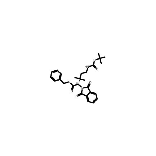 CC(C)(C)OC(=O)NCCC(C)(C)[C@@H](C(=O)OCc1ccccc1)N1C(=O)c2ccccc2C1=O